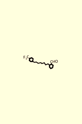 O=Cc1ccccc1CCCCCCCCc1ccc(C(F)(F)F)cc1